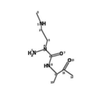 CNCCN(N)C(=O)NC(C)C(C)=O